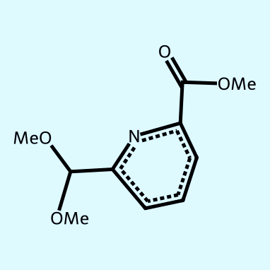 COC(=O)c1cccc(C(OC)OC)n1